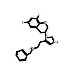 Fc1cc(F)c2c(c1)CC(N1CNC=C1CCNCc1ccccc1)CO2